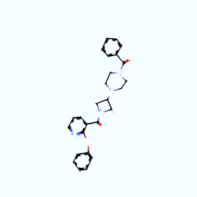 O=C(c1ccccc1)N1CCN(C2CN(C(=O)c3cccnc3Oc3ccccc3)C2)CC1